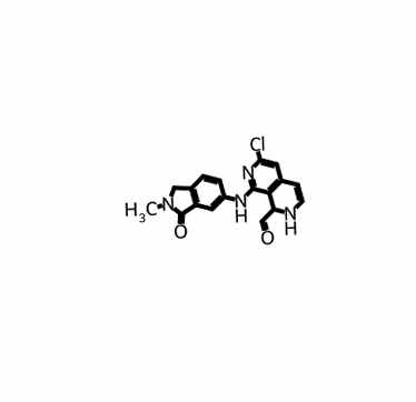 CN1Cc2ccc(Nc3nc(Cl)cc4c3C(C=O)NC=C4)cc2C1=O